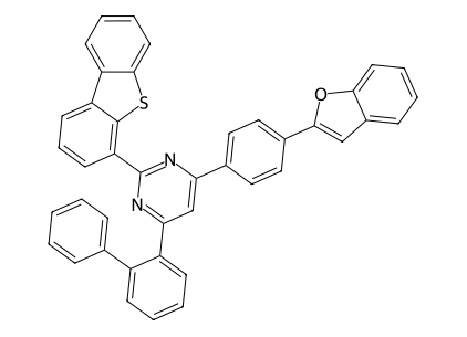 c1ccc(-c2ccccc2-c2cc(-c3ccc(-c4cc5ccccc5o4)cc3)nc(-c3cccc4c3sc3ccccc34)n2)cc1